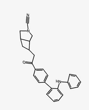 N#CN1CC2CC(CC(=O)c3ccc(-c4ccccc4Nc4ccccc4)cc3)C2C1